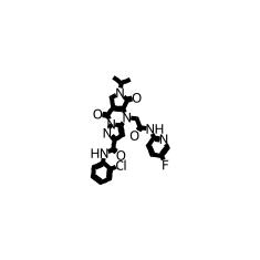 CC(C)N1Cc2c(n(CC(=O)Nc3ccc(F)cn3)c3cc(C(=O)Nc4ccccc4Cl)nn3c2=O)C1=O